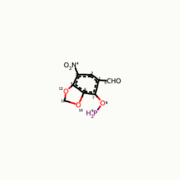 O=Cc1cc([N+](=O)[O-])c2c(c1OP)OCO2